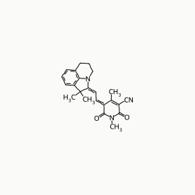 CC1=C(C#N)C(=O)N(C)C(=O)C1=CC=C1N2CCCc3cccc(c32)C1(C)C